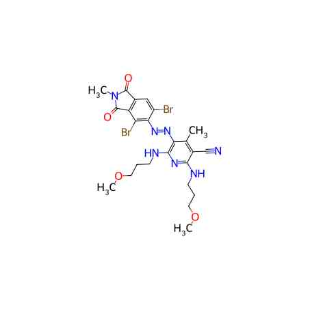 COCCCNc1nc(NCCCOC)c(/N=N/c2c(Br)cc3c(c2Br)C(=O)N(C)C3=O)c(C)c1C#N